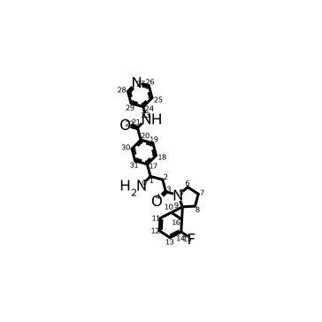 NC(CC(=O)N1CCCC12C1C=CC=C(F)C12)c1ccc(C(=O)Nc2ccncc2)cc1